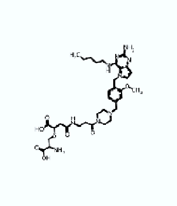 CCCCCNc1nc(N)nc2ccn(Cc3ccc(CN4CCN(C(=O)CCNC(=O)CC(SCC(N)C(=O)O)C(=O)O)CC4)cc3OC)c12